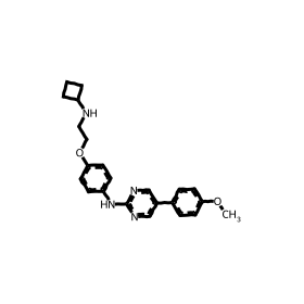 COc1ccc(-c2cnc(Nc3ccc(OCCNC4CCC4)cc3)nc2)cc1